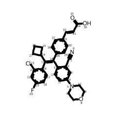 N#Cc1cc(N2CCOCC2)ccc1C(=C(c1ccc(F)cc1Cl)C1CCC1)c1ccc(C=CC(=O)O)cc1